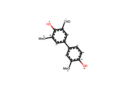 COc1cc(-c2cc(C=O)c(O)c(OC)c2)ccc1O